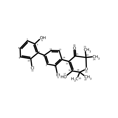 CCc1cc(-c2c(O)cccc2Cl)ccc1C1=C(O)C(C)(C)OC(C)(C)C1=O